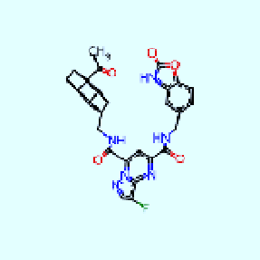 CC(=O)C12C3C4C1C1C2C3C41CNC(=O)c1cc(C(=O)NCc2ccc3oc(=O)[nH]c3c2)nc2c(F)cnn12